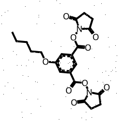 CCCCCOc1cc(C(=O)ON2C(=O)CCC2=O)cc(C(=O)ON2C(=O)CCC2=O)c1